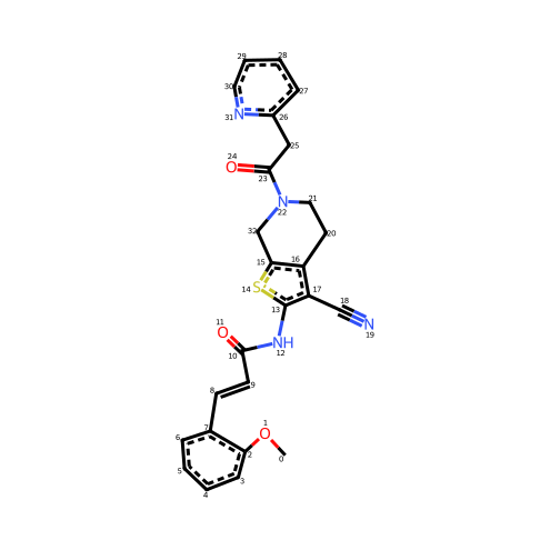 COc1ccccc1/C=C/C(=O)Nc1sc2c(c1C#N)CCN(C(=O)Cc1ccccn1)C2